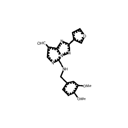 COc1ccc(CNc2ncc(C=O)c3nc(-c4ccoc4)nn23)cc1OC